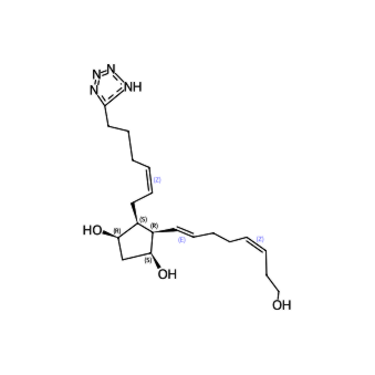 OCC/C=C\CC/C=C/[C@@H]1[C@H](C/C=C\CCCc2nnn[nH]2)[C@H](O)C[C@@H]1O